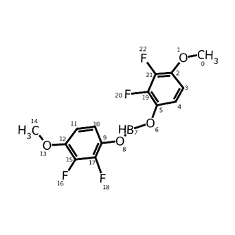 COc1ccc(OBOc2ccc(OC)c(F)c2F)c(F)c1F